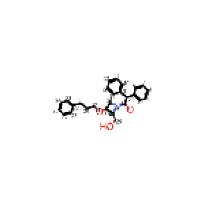 O=C(C(c1ccccc1)c1ccccc1)N1C[C@H](OCCCc2ccccc2)[C@@H]1CO